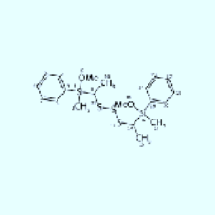 CO[Si](C)(c1ccccc1)C(C)SSSC(C)[Si](C)(OC)c1ccccc1